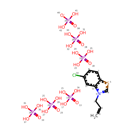 C=CC[n+]1csc2ccc(Cl)cc21.O=P(O)(O)O.O=P(O)(O)O.O=P(O)(O)O.O=P(O)(O)O.O=P(O)(O)O.O=P([O-])(O)O